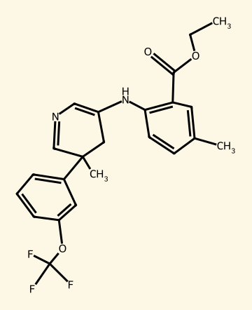 CCOC(=O)c1cc(C)ccc1NC1=CN=CC(C)(c2cccc(OC(F)(F)F)c2)C1